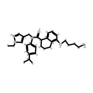 CCn1cc(CN(C(=O)C2CCCc3c(OCCCCBr)cccc32)c2ccc(C(C)C)cc2)cn1